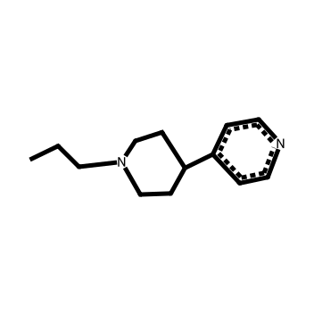 CCCN1CCC(c2ccncc2)CC1